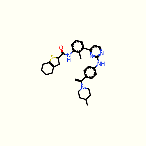 C=C(c1ccc(Nc2nccc(-c3cccc(NC(=O)C4CC5=C(CCCC5)S4)c3C)n2)cc1)N1CCC(C)CC1